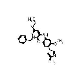 CCOc1cc(Nc2ccc(-n3cnc(C)c3)c(OC)c2)c(=O)n(Cc2ccccc2)n1